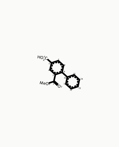 COC(=O)c1cc(C(=O)O)ccc1-c1ccccc1